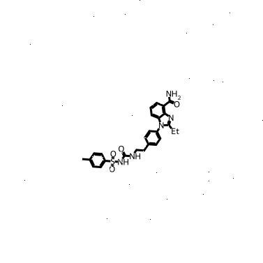 CCc1nc2c(C(N)=O)cccc2n1-c1ccc(CCNC(=O)NS(=O)(=O)c2ccc(C)cc2)cc1